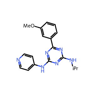 COc1cccc(-c2nc(Nc3ccncc3)nc(NC(C)C)n2)c1